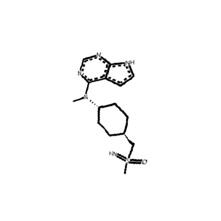 CN(c1ncnc2[nH]ccc12)[C@H]1CC[C@H](CS(C)(=N)=O)CC1